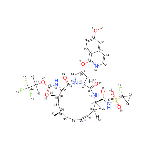 COc1ccc2c(O[C@@H]3C[C@H]4C(=O)N[C@]5(C(=O)NS(=O)(=O)C6(F)CC6)C[C@H]5/C=C\CC[C@@H](C)C[C@@H](C)[C@H](NC(=O)OC(C)(C)C(F)(F)F)C(=O)N4C3)nccc2c1